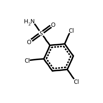 NS(=O)(=O)c1c(Cl)cc(Cl)cc1Cl